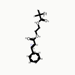 CCC(C)(C)C(=O)OCCOC(=O)/C=C/c1ccccc1